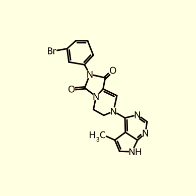 Cc1c[nH]c2ncnc(N3C=C4C(=O)N(c5cccc(Br)c5)C(=O)N4CC3)c12